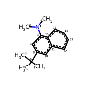 CN(C)c1cc(C(C)(C)C)cc2ccccc12